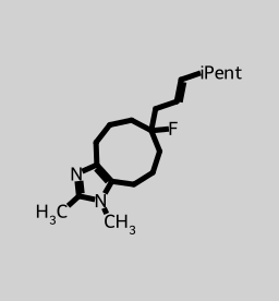 CCCC(C)/C=C/CC1(F)CCCc2nc(C)n(C)c2CCC1